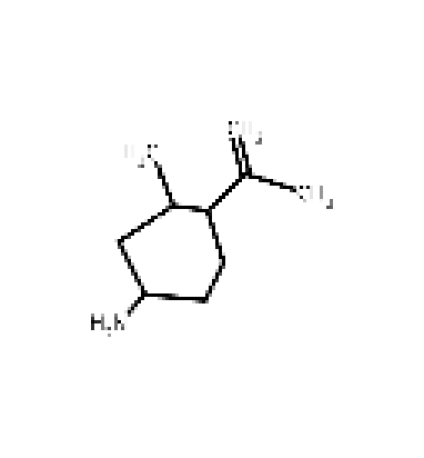 C=C(C)C1CCC(N)CC1C